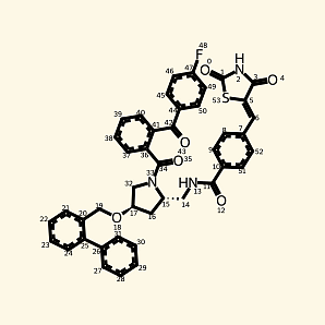 O=C1NC(=O)/C(=C/c2ccc(C(=O)NC[C@@H]3C[C@@H](OCc4ccccc4-c4ccccc4)CN3C(=O)c3ccccc3C(=O)c3ccc(F)cc3)cc2)S1